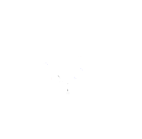 Cc1cccc(-c2csc(N3C[C@@H]4C[C@]4(C(=O)O)C3)n2)c1OCc1ccc2c(c1C)CCNCC2